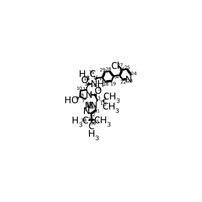 CC(C)[C@@H](C(=O)N1C[C@H](O)C[C@H]1C(=O)N[C@@H](C)c1ccc(-c2cnccc2Cl)cc1)n1cc(C(C)(C)C)nn1